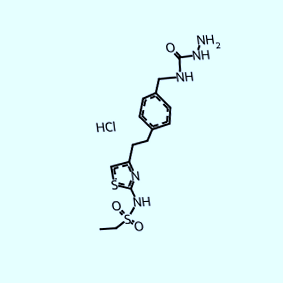 CCS(=O)(=O)Nc1nc(CCc2ccc(CNC(=O)NN)cc2)cs1.Cl